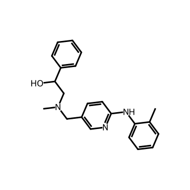 Cc1ccccc1Nc1ccc(CN(C)CC(O)c2ccccc2)cn1